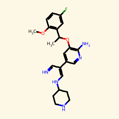 COc1ccc(F)cc1C(C)Oc1cc(/C(C=N)=C/NC2CCNCC2)cnc1N